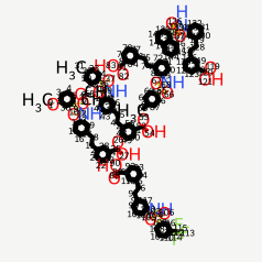 COc1ccc(OC)c(S(=O)(=O)Nc2cccc(CCc3cccc(C(=O)O)c3)c2)c1.Cc1ccc(S(=O)(=O)Nc2cccc(CCc3cccc(C(=O)O)c3)c2)c(C)c1.Cc1ccc(S(=O)(=O)Nc2cccc(CCc3cccc(C(=O)O)c3)c2)cc1.O=C(O)c1cccc(CCc2cccc(NS(=O)(=O)c3cccc(C(F)(F)F)c3)c2)c1.O=C(O)c1cccc(CCc2cccc(NS(=O)(=O)c3cccc4ccccc34)c2)c1